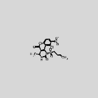 CCCCS(=O)(=O)N1C(=O)NC(C)C(C(=O)O)=C1c1cccc([N+](=O)[O-])c1Cl